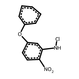 O=[N+]([O-])c1ccc(Oc2ccccc2)cc1NCl